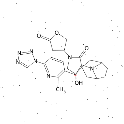 Cc1nc(-n2cnnn2)ccc1[C@@H](O)CN1C2CCC1CC1(CCN(C3=CC(=O)OC3)C1=O)C2